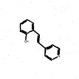 Oc1ccccc1/C=C/c1ccncc1